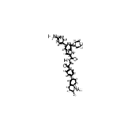 CC(=O)N1c2ccc(-c3ccc(C(=O)CNC(=O)c4cn5cc(-c6cnc(N)nc6)nc(N6CCOCC6)c5n4)cc3)cc2CCC1C